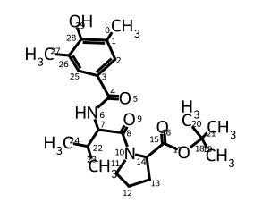 Cc1cc(C(=O)NC(C(=O)N2CCCC2C(=O)OC(C)(C)C)C(C)C)cc(C)c1O